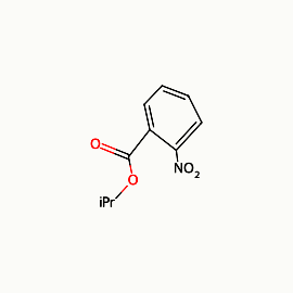 CC(C)OC(=O)c1ccccc1[N+](=O)[O-]